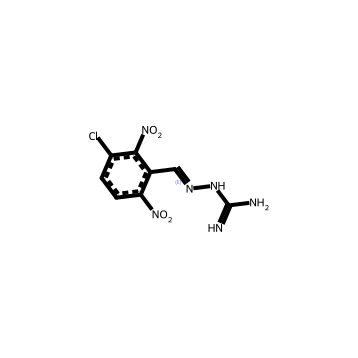 N=C(N)N/N=C/c1c([N+](=O)[O-])ccc(Cl)c1[N+](=O)[O-]